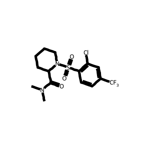 CN(C)C(=O)C1CCCCN1S(=O)(=O)c1ccc(C(F)(F)F)cc1Cl